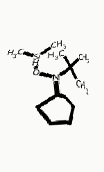 C[SiH](C)ON(C1CCCC1)C(C)(C)C